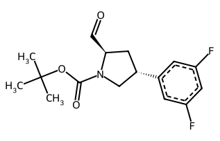 CC(C)(C)OC(=O)N1C[C@@H](c2cc(F)cc(F)c2)C[C@@H]1C=O